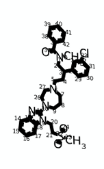 CN(CC(CCN1CCCN(c2nc3ccccc3n2CCS(C)(=O)=O)CC1)c1cccc(Cl)c1)C(=O)c1ccccc1